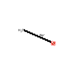 CCCCCCCCCCCCCCCCCCC/C=C/C=C/OS(=O)(=O)[O-].[Na+]